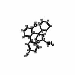 NC1=NC2(CO1)c1ccccc1Oc1cccc(-c3cncc(F)c3)c12